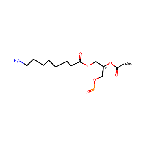 CCCCCCCCCCC(=O)O[C@@H](COP=O)COC(=O)CCCCCCCN